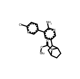 CC(C)(C)OC(=O)N1C2CCC1C(c1cnc(N)c(-c3ccc(Cl)nc3)c1)C2